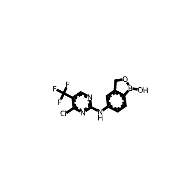 OB1OCc2cc(Nc3ncc(C(F)(F)F)c(Cl)n3)ccc21